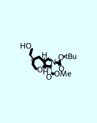 COC(=O)[C@@H]1[C@@H]2OCC[C@@H](CCO)C[C@H]2CN1C(=O)OC(C)(C)C